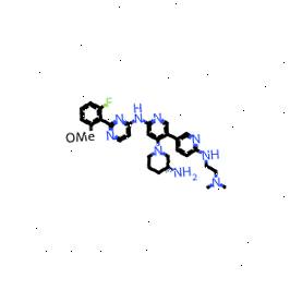 COc1cccc(F)c1-c1nccc(Nc2cc(N3CCC[C@H](N)C3)c(-c3ccc(NCCN(C)C)nc3)cn2)n1